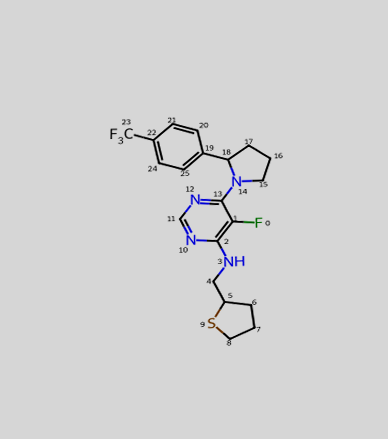 Fc1c(NCC2CCCS2)ncnc1N1CCCC1c1ccc(C(F)(F)F)cc1